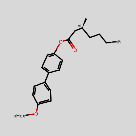 CCCCCCOc1ccc(-c2ccc(OC(=O)C[C@@H](C)CCCC(C)C)cc2)cc1